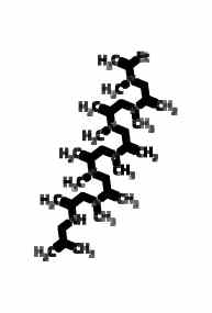 C=C(C)CNC(=C)CN(C)C(=C)CN(C)C(=C)CN(C)C(=C)CN(C)C(=C)CN(C)C(=C)CN(C)C(=C)CC